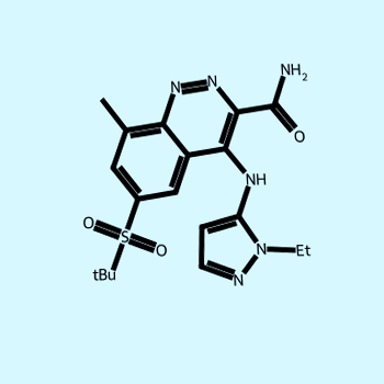 CCn1nccc1Nc1c(C(N)=O)nnc2c(C)cc(S(=O)(=O)C(C)(C)C)cc12